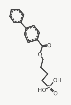 O=C(OCCCCP(=O)(O)O)c1ccc(-c2ccccc2)cc1